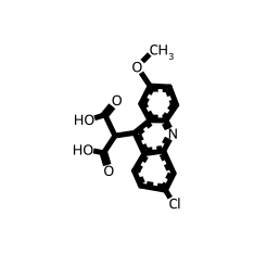 COc1ccc2nc3cc(Cl)ccc3c(C(C(=O)O)C(=O)O)c2c1